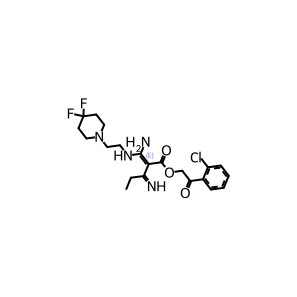 CCC(=N)/C(C(=O)OCC(=O)c1ccccc1Cl)=C(/N)NCCN1CCC(F)(F)CC1